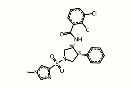 Cn1cnc(S(=O)(=O)N2C[C@H](NC(=O)c3cccc(Cl)c3Cl)[C@@H](c3ccccc3)C2)c1